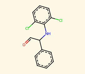 O=CC(Nc1c(Cl)cccc1Cl)c1ccccc1